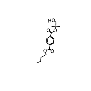 CCCCOC(=O)c1ccc(C(=O)OC(C)(C)CO)cc1